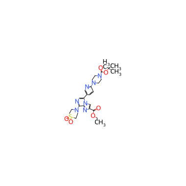 CCOC(=O)c1cn2c(-c3ccc(N4CCN(C(=O)OC(C)(C)C)CC4)nc3)cnc(N3CCS(=O)(=O)CC3)c2n1